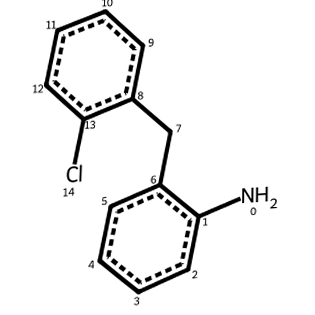 Nc1ccccc1Cc1ccccc1Cl